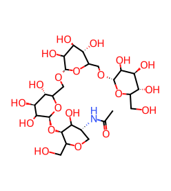 CC(=O)N[C@@H]1COC(CO)[C@@H](O[C@@H]2OC(CO[C@H]3OC(CO[C@H]4OC(CO)[C@@H](O)[C@H](O)C4O)[C@@H](O)[C@H](O)C3O)[C@@H](O)[C@H](O)C2O)C1O